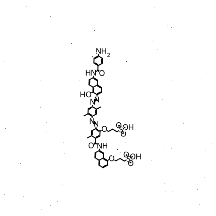 Cc1cc(N=Nc2ccc3cc(NC(=O)c4ccc(N)cc4)ccc3c2O)c(C)cc1N=Nc1cc(C)c(C(=O)Nc2ccc3cccc(OCCCS(=O)(=O)O)c3c2)cc1OCCCS(=O)(=O)O